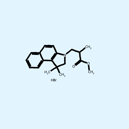 Br.COC(=O)C(C)CN1CC(C)(C)c2c1ccc1ccccc21